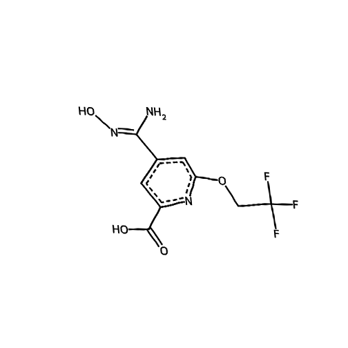 N/C(=N\O)c1cc(OCC(F)(F)F)nc(C(=O)O)c1